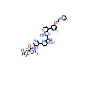 CC(C)(C)C(=O)Nc1cncc(-c2ccc3[nH]nc(-c4nc5c(-c6cc(F)cc(OCCN7CCCC7)c6)ccnc5[nH]4)c3n2)c1